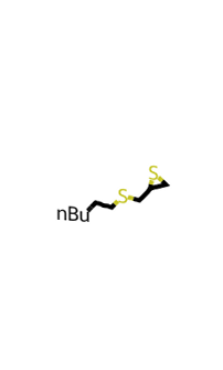 CCCCCCSCC1CS1